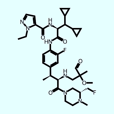 CCn1nccc1C(=O)N[C@H](C(=O)Nc1ccc([C@H](C)[C@@H](NCC(C)(C=O)OC)C(=O)N2CCN(C)[C@@H](CF)C2)cc1F)C(C1CC1)C1CC1